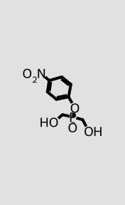 O=[N+]([O-])c1ccc(OP(=O)(CO)CO)cc1